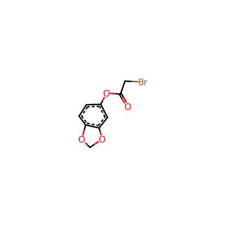 O=C(CBr)Oc1ccc2c(c1)OCO2